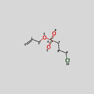 C=C[CH]OS(=O)(=O)CCCCl